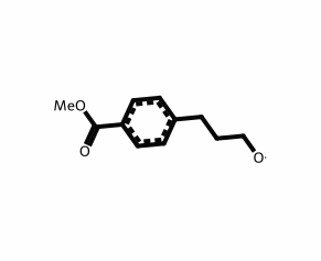 COC(=O)c1ccc(CCC[O])cc1